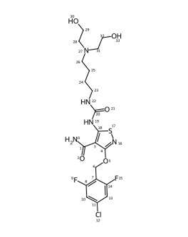 NC(=O)c1c(OCc2c(F)cc(Cl)cc2F)nsc1NC(=O)NCCCCN(CCO)CCO